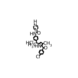 Cc1cc(C(C)c2ccc(NC(=O)N3CCNCC3)cc2)[nH]c1C(=O)c1ccc(Cl)cc1.Cl